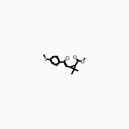 COC(=O)C1C(C=C(Cl)c2ccc(SC)cc2)C1(C)C